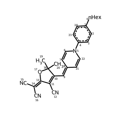 CCCCCCc1ccc(N2C=CC(=CC3=C(C#N)C(=C(C#N)C#N)OC3(C)C)C=C2)cc1